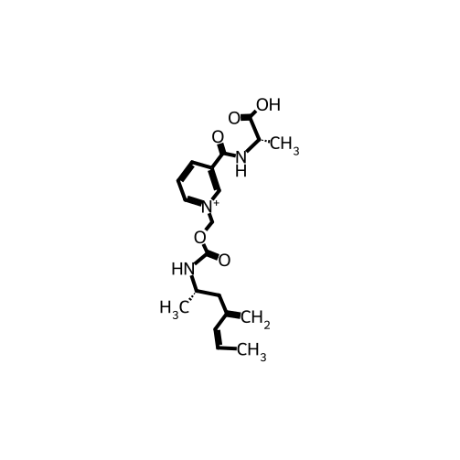 C=C(/C=C\C)C[C@H](C)NC(=O)OC[n+]1cccc(C(=O)N[C@@H](C)C(=O)O)c1